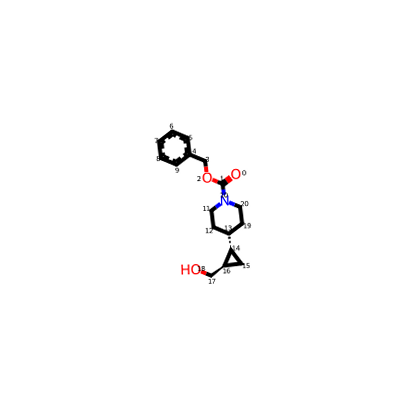 O=C(OCc1ccccc1)N1CCC([C@@H]2C[C@H]2CO)CC1